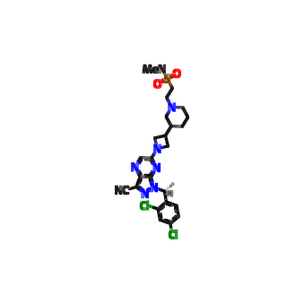 CNS(=O)(=O)CCN1CCCC(C2CN(c3cnc4c(C#N)nn([C@H](C)c5ccc(Cl)cc5Cl)c4n3)C2)C1